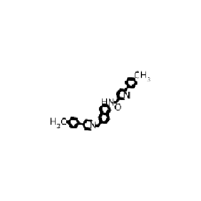 Cc1ccc(-c2ccc(C(=O)Nc3ccc4cc(CN5CCC(c6ccc(C)cc6)CC5)ccc4c3)cn2)cc1